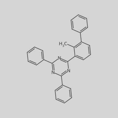 Cc1c(-c2ccccc2)cccc1-c1nc(-c2ccccc2)nc(-c2ccccc2)n1